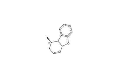 C[C@@H]1CC=CC2Oc3ccccc3C21